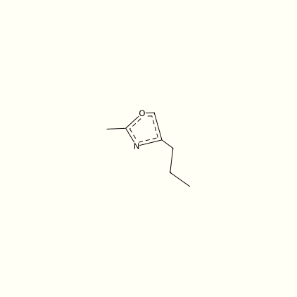 CCCc1coc(C)n1